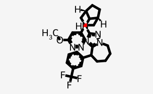 COc1cc(N2C[C@H]3CC[C@@H](C2)C3Nc2nc3n(n2)CCCCC3c2cccc(C(F)(F)F)c2)cnn1